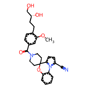 COc1cc(C(=O)N2CCC3(CC2)Oc2ccccc2-n2c(C#N)ccc23)ccc1CC[C@@H](O)CO